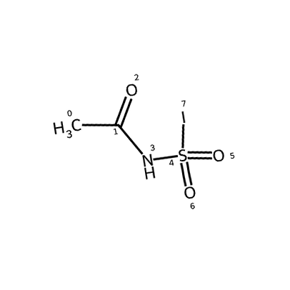 CC(=O)NS(=O)(=O)I